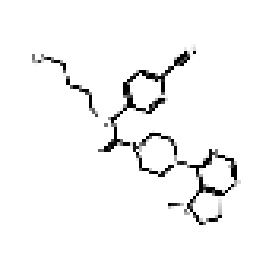 C[C@@H]1CCc2ncnc(N3CCN(C(=O)[C@H](CCCCN)c4ccc(C#N)cc4)CC3)c21